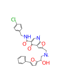 CN(Cc1cc2c(=O)c(C(=O)NCc3ccc(Cl)cc3)cn(C)c2o1)CC(O)c1ccc(-c2ccccc2)o1